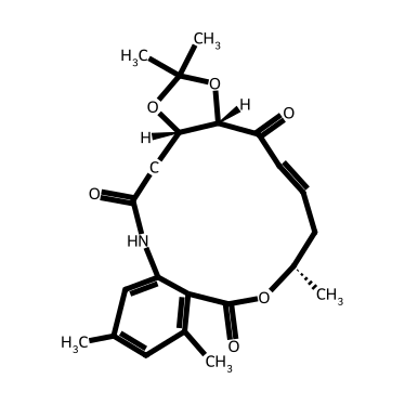 Cc1cc(C)c2c(c1)NC(=O)C[C@@H]1OC(C)(C)O[C@@H]1C(=O)/C=C/C[C@H](C)OC2=O